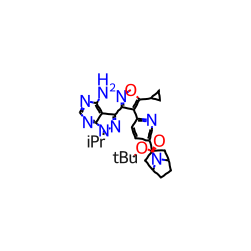 CC(C)n1nc(-c2noc(C3CC3)c2-c2ccc(C3CC4CCC(C3)N4C(=O)OC(C)(C)C)cn2)c2c(N)ncnc21